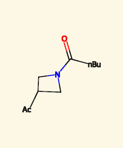 CCCCC(=O)N1CC(C(C)=O)C1